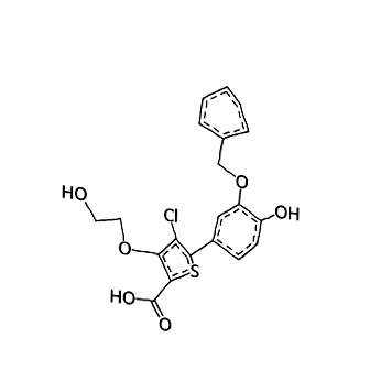 O=C(O)c1sc(-c2ccc(O)c(OCc3ccccc3)c2)c(Cl)c1OCCO